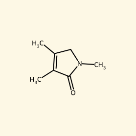 CC1=C(C)C(=O)N(C)C1